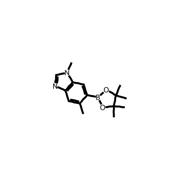 Cc1cc2ncn(C)c2cc1B1OC(C)(C)C(C)(C)O1